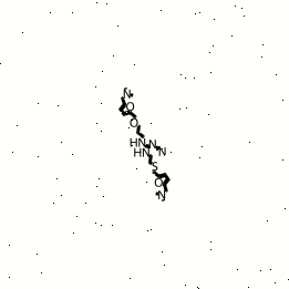 CN(C)Cc1ccc(COCCCNC(=NC#N)NCCSCc2ccc(CN(C)C)o2)o1